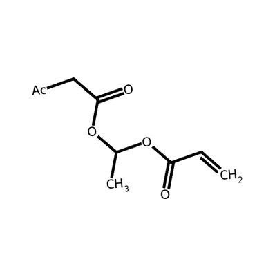 C=CC(=O)OC(C)OC(=O)CC(C)=O